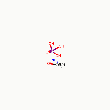 N.O=C([O-])O.O=P(O)(O)O.[K+]